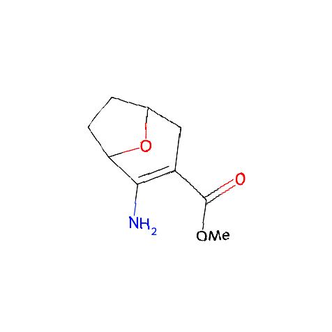 COC(=O)C1=C(N)C2CCC(C1)O2